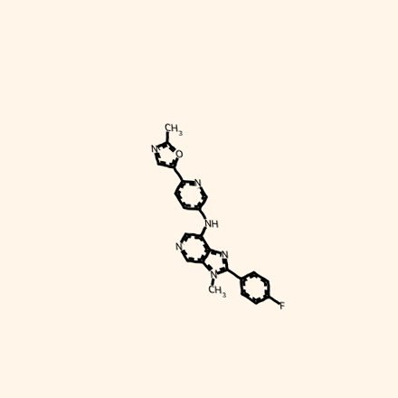 Cc1ncc(-c2ccc(Nc3cncc4c3nc(-c3ccc(F)cc3)n4C)cn2)o1